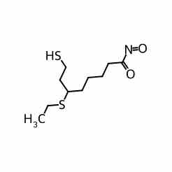 CCSC(CCS)CCCCC(=O)N=O